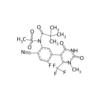 Cn1c(C(F)(F)F)c(-c2cc(N(C(=O)C(C)(C)C)S(C)(=O)=O)c(C#N)cc2F)c(=O)[nH]c1=O